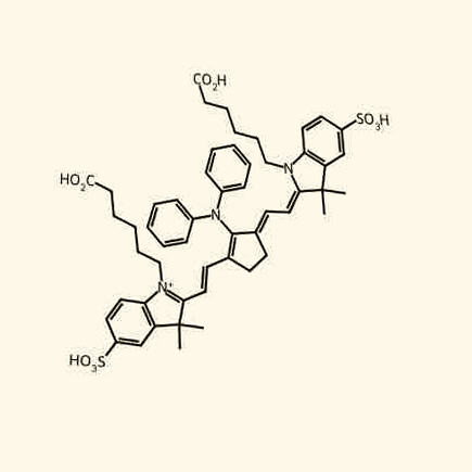 CC1(C)C(/C=C/C2=C(N(c3ccccc3)c3ccccc3)C(=C/C=C3\N(CCCCCC(=O)O)c4ccc(S(=O)(=O)O)cc4C3(C)C)/CC2)=[N+](CCCCCC(=O)O)c2ccc(S(=O)(=O)O)cc21